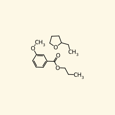 CCC1CCCO1.CCCOC(=O)c1cccc(OC)c1